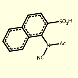 CC(=O)N(C#N)c1c(S(=O)(=O)O)ccc2ccccc12